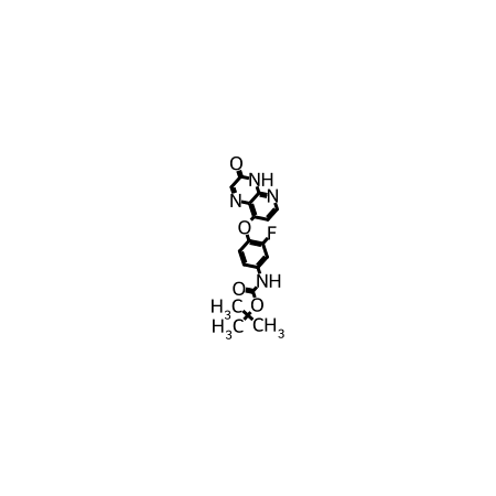 CC(C)(C)OC(=O)Nc1ccc(Oc2ccnc3[nH]c(=O)cnc23)c(F)c1